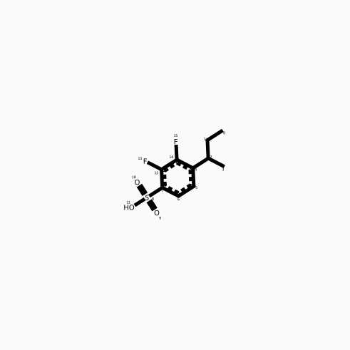 CCC(C)c1ccc(S(=O)(=O)O)c(F)c1F